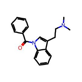 CN(C)CCc1cn(C(=O)c2ccccc2)c2ccccc12